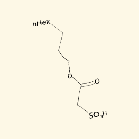 CCCCCCCCCOC(=O)CS(=O)(=O)O